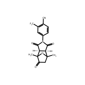 CC12CC(=O)C(C)(O1)[C@H]1C(=O)N(c3ccc(C#N)c(C(F)(F)F)c3)C(=O)[C@H]12